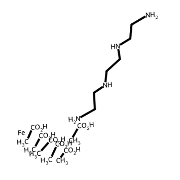 CC(=O)O.CC(=O)O.CC(=O)O.CC(=O)O.CC(=O)O.CC(=O)O.NCCNCCNCCN.[Fe]